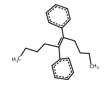 CCCC/C(=C(/CCCC)c1ccccc1)c1ccccc1